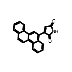 O=C1C=C(c2cc3c4ccccc4ccc3c3ccccc23)C(=O)N1